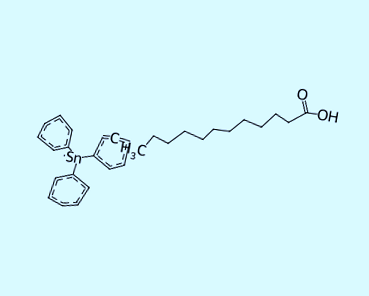 CCCCCCCCCCCC(=O)O.c1cc[c]([Sn]([c]2ccccc2)[c]2ccccc2)cc1